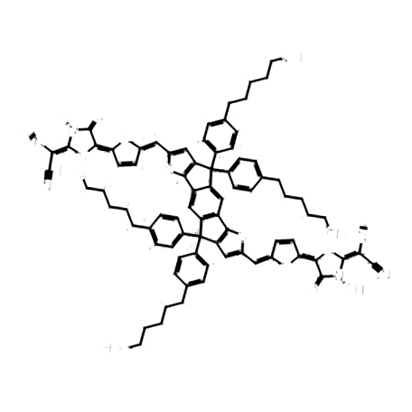 [C-]#[N+]/C(C#N)=c1\s/c(=c2\cc/c(=C\c3cc4c(s3)-c3cc5c(cc3C4(c3ccc(CCCCCC)cc3)c3ccc(CCCCCC)cc3)-c3sc(/C=c4\cc/c(=c6\s/c(=C(\C#N)[N+]#[C-])n(C)c6=O)s4)cc3C5(c3ccc(CCCCCC)cc3)c3ccc(CCCCCC)cc3)s2)c(=O)n1C